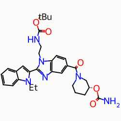 CCn1c(-c2nc3cc(C(=O)N4CCC[C@@H](OC(N)=O)C4)ccc3n2CCNC(=O)OC(C)(C)C)cc2ccccc21